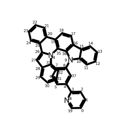 c1ccc(-c2cccc(-n3c4ccccc4c4ccc5c6ccccc6c6cc7ccccc7n6c5c43)c2)nc1